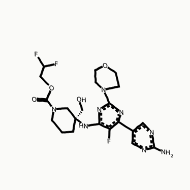 Nc1ncc(-c2nc(N3CCOCC3)nc(N[C@@]3(CO)CCCN(C(=O)OCC(F)F)C3)c2F)cn1